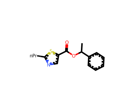 CCCc1ncc(C(=O)OC(C)c2ccccc2)s1